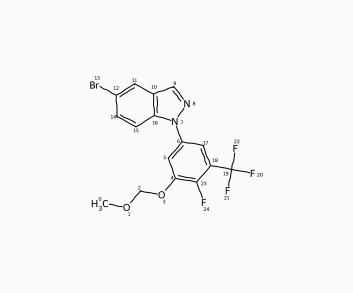 COCOc1cc(-n2ncc3cc(Br)ccc32)cc(C(F)(F)F)c1F